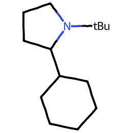 CC(C)(C)N1CCCC1C1CCCCC1